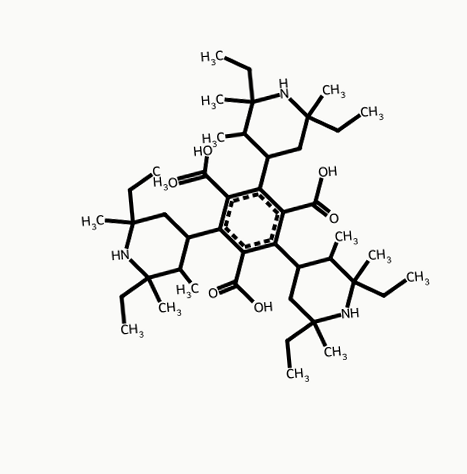 CCC1(C)CC(c2c(C(=O)O)c(C3CC(C)(CC)NC(C)(CC)C3C)c(C(=O)O)c(C3CC(C)(CC)NC(C)(CC)C3C)c2C(=O)O)C(C)C(C)(CC)N1